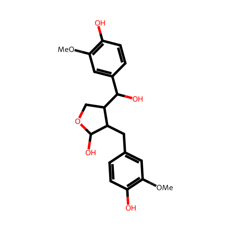 COc1cc(CC2C(O)OCC2C(O)c2ccc(O)c(OC)c2)ccc1O